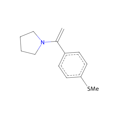 C=C(c1ccc(SC)cc1)N1CCCC1